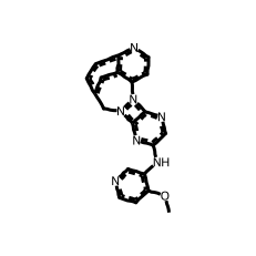 COc1ccncc1Nc1cnc2c(n1)n1n2-c2ccnc3ccc(cc23)C1